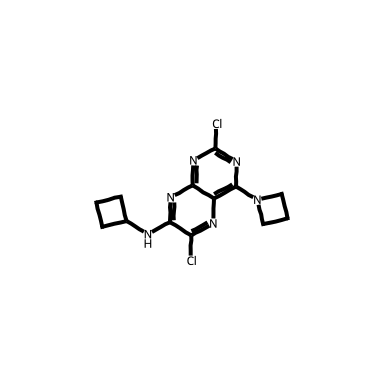 Clc1nc(N2CCC2)c2nc(Cl)c(NC3CCC3)nc2n1